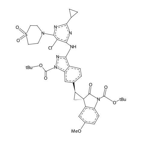 COc1ccc2c(c1)[C@]1(C[C@H]1c1ccc3c(Nc4nc(C5CC5)nc(N5CCS(=O)(=O)CC5)c4Cl)nn(C(=O)OC(C)(C)C)c3c1)C(=O)N2C(=O)OC(C)(C)C